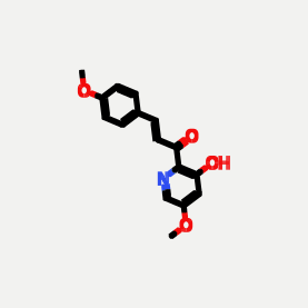 COc1ccc(C=CC(=O)c2ncc(OC)cc2O)cc1